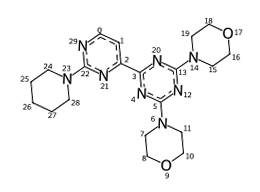 c1cc(-c2nc(N3CCOCC3)nc(N3CCOCC3)n2)nc(N2CCCCC2)n1